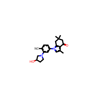 Cc1cn(-c2ccc(C#N)c(N3CCC(O)C3)c2)c2c1C(=O)CC(C)(C)C2